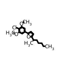 CCCCCC(C)c1ccc(-c2cc(OC)c(Cl)c(OC)c2)o1